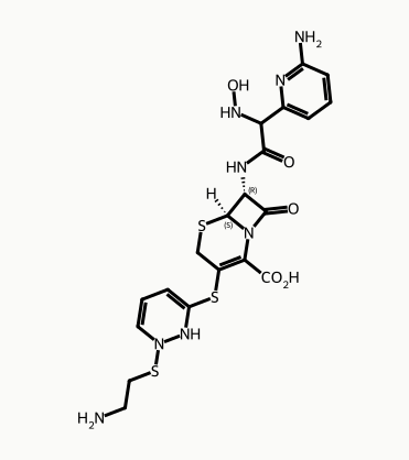 NCCSN1C=CC=C(SC2=C(C(=O)O)N3C(=O)[C@@H](NC(=O)C(NO)c4cccc(N)n4)[C@@H]3SC2)N1